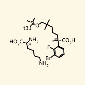 CC(C)(CCC[C@@](C)(C(=O)O)c1cccc(Br)c1F)CO[Si](C)(C)C(C)(C)C.NCCCC[C@H](N)C(=O)O